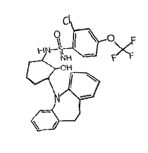 N=S(=O)(NC1CCCC(N2c3ccccc3CCc3ccccc32)C1O)c1ccc(OC(F)(F)F)cc1Cl